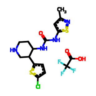 Cc1cc(NC(=O)NC2CCNCC2c2ccc(Cl)s2)sn1.O=C(O)C(F)(F)F